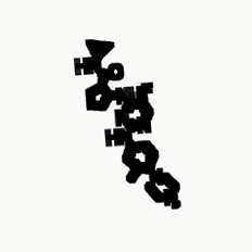 Cc1cc(Nc2ncc(F)c(NC3CCCC3C(=O)NC3CC3)n2)ccc1N1CCN(C)CC1